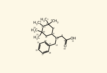 CN1C(C)(C)CC(N(CC(=O)O)Cc2ccccc2)CC1(C)C